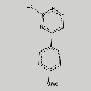 COc1ccc(-c2ccnc(S)n2)cc1